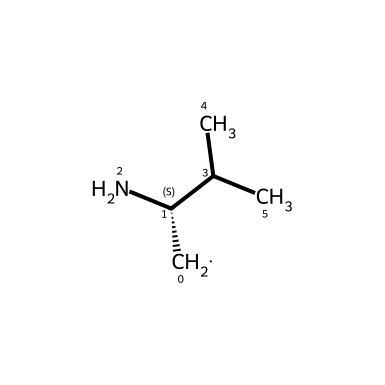 [CH2][C@H](N)C(C)C